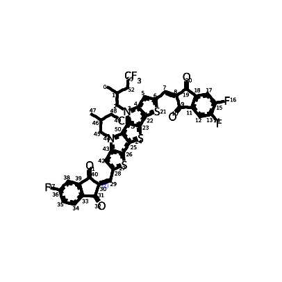 CC(Cn1c2cc(C=C3C(=O)c4cc(F)c(F)cc4C3=O)sc2c2sc3c4sc(/C=C5/C(=O)c6ccc(F)cc6C5=O)cc4n(CC(C)CC(F)(F)F)c3c21)CC(F)(F)F